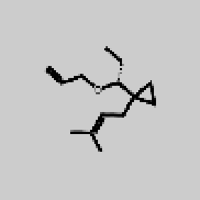 C=CCO[C@H](CC)C1(CC=C(C)C)CC1